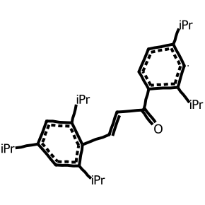 CC(C)c1[c]c(C(C)C)c(C(=O)C=Cc2c(C(C)C)cc(C(C)C)cc2C(C)C)cc1